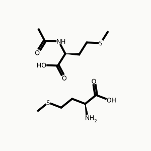 CSCC[C@H](N)C(=O)O.CSCC[C@H](NC(C)=O)C(=O)O